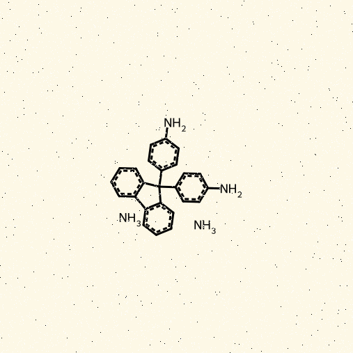 N.N.Nc1ccc(C2(c3ccc(N)cc3)c3ccccc3-c3ccccc32)cc1